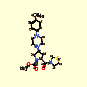 COc1ccc(N2CCN([C@H]3C[C@@H](C(=O)N4CCSC4)N(C(=O)OC(C)(C)C)C3)CC2)cc1